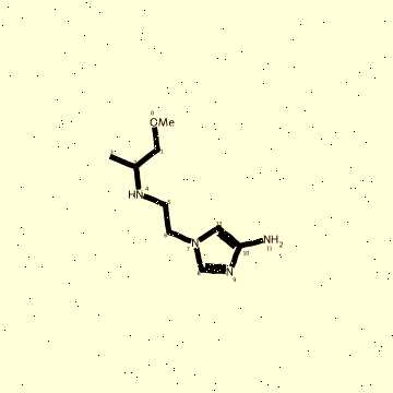 COCC(C)NCCn1cnc(N)c1